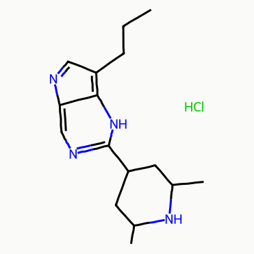 CCCc1cnc2cnc(C3CC(C)NC(C)C3)[nH]c1-2.Cl